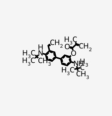 C=Cc1cc(-c2ccc(NC(C)(C)C)c(OC(=O)C(=C)C)c2)ccc1NC(C)(C)C